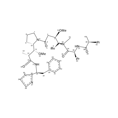 CC[C@H](C)[C@@H]([C@@H](CC(=O)N1CCC[C@H]1[C@H](OC)[C@@H](C)C(=O)N[C@@H](Cc1ccccc1)c1nccs1)OC)N(C)C(=O)[C@@H](NC(=O)[C@@H](C)C(C)C)C(C)C